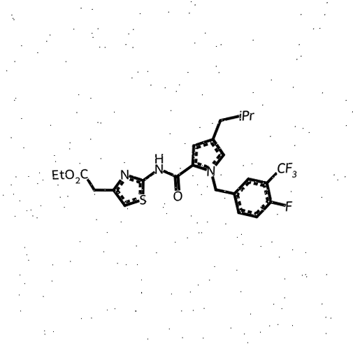 CCOC(=O)Cc1csc(NC(=O)c2cc(CC(C)C)cn2Cc2ccc(F)c(C(F)(F)F)c2)n1